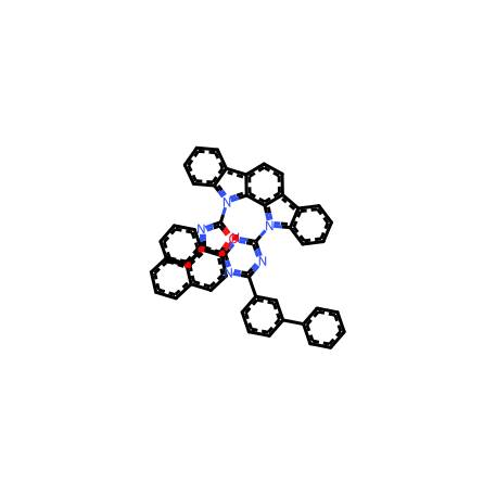 c1ccc(-c2cccc(-c3nc(-c4ccccc4)nc(-n4c5ccccc5c5ccc6c7ccccc7n(-c7nc8c(ccc9ccccc98)o7)c6c54)n3)c2)cc1